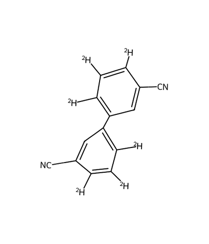 [2H]c1c(C#N)cc(-c2cc(C#N)c([2H])c([2H])c2[2H])c([2H])c1[2H]